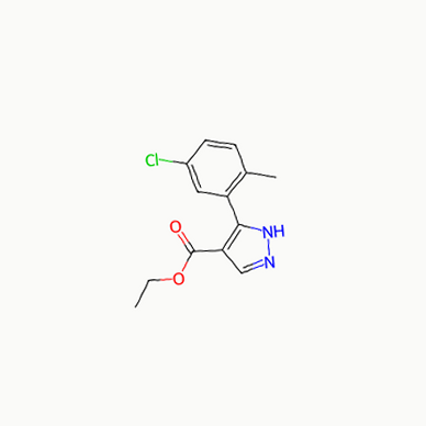 CCOC(=O)c1cn[nH]c1-c1cc(Cl)ccc1C